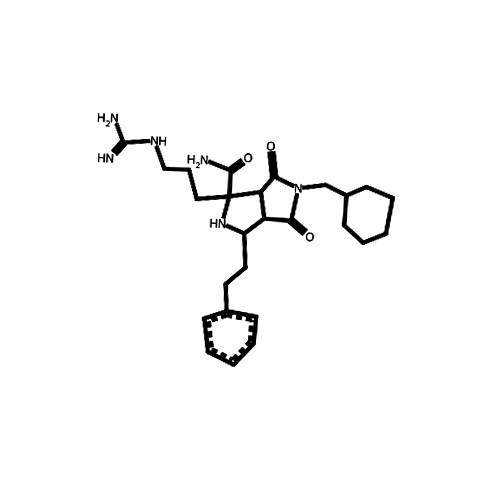 N=C(N)NCCCC1(C(N)=O)NC(CCc2ccccc2)C2C(=O)N(CC3CCCCC3)C(=O)C21